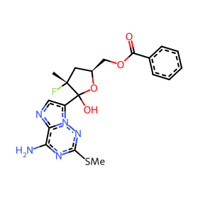 CSc1nc(N)c2ncc(C3(O)O[C@H](COC(=O)c4ccccc4)C[C@@]3(C)F)n2n1